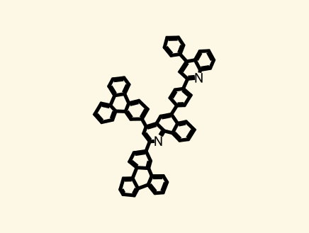 c1ccc(-c2cc(-c3ccc(-c4cc5c(-c6ccc7c8ccccc8c8ccccc8c7c6)cc(-c6ccc7c8ccccc8c8ccccc8c7c6)nc5c5ccccc45)cc3)nc3ccccc23)cc1